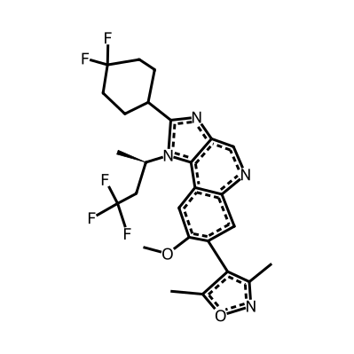 COc1cc2c(cc1-c1c(C)noc1C)ncc1nc(C3CCC(F)(F)CC3)n([C@H](C)CC(F)(F)F)c12